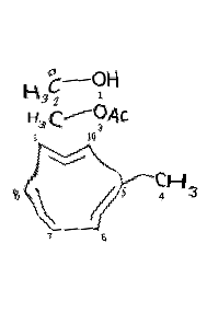 CO.COC(C)=O.Cc1ccccc1